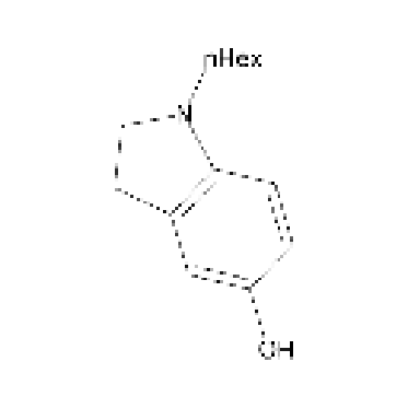 CCCCCCN1CCc2cc(O)ccc21